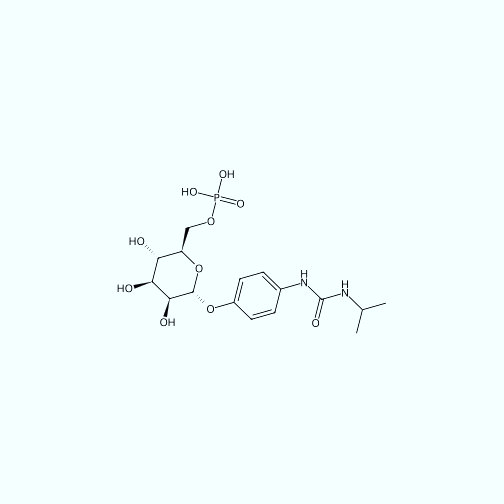 CC(C)NC(=O)Nc1ccc(O[C@H]2O[C@H](COP(=O)(O)O)[C@@H](O)[C@H](O)[C@@H]2O)cc1